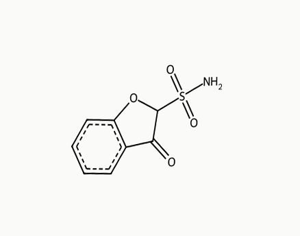 NS(=O)(=O)C1Oc2ccccc2C1=O